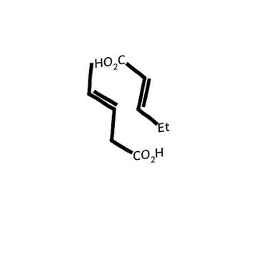 CC=CCC(=O)O.CCC=CC(=O)O